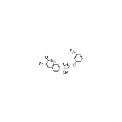 CCc1cc2ccc(C(C)(C#N)CCOc3cccc(C(F)(F)F)c3)cc2[nH]c1=O